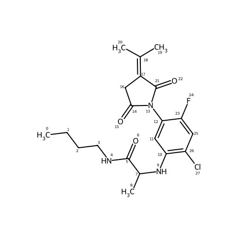 CCCCNC(=O)C(C)Nc1cc(N2C(=O)CC(=C(C)C)C2=O)c(F)cc1Cl